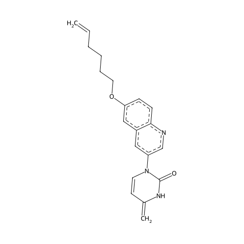 C=CCCCCOc1ccc2ncc(N3C=CC(=C)NC3=O)cc2c1